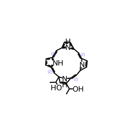 CC(O)C1=CC2(C(C)O)/C=c3/cc/c([nH]3)=C/c3ccc([nH]3)/C=C3/C=CC(=N3)/C=C/1N2